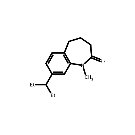 CCC(CC)c1ccc2c(c1)N(C)C(=O)CCC2